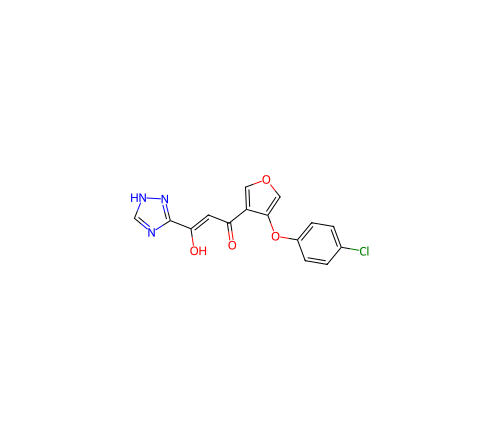 O=C(C=C(O)c1nc[nH]n1)c1cocc1Oc1ccc(Cl)cc1